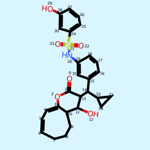 O=C1OC2=CC=CCCCC2C(O)C1C(c1cccc(NS(=O)(=O)c2cccc(O)c2)c1)C1CC1